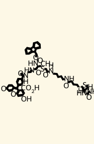 C=C(SCC(=O)NCCCCCNC(=O)CCCC[C@@H]1SC[C@@H]2NC(=O)N[C@@H]21)[C@H](NC(=O)OCC1c2ccccc2-c2ccccc21)C(=O)NCCNC(=O)c1ccc(-c2c3ccc(=O)cc-3oc3cc(O)ccc23)c(C(=O)O)c1